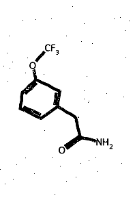 NC(=O)[CH]c1cccc(OC(F)(F)F)c1